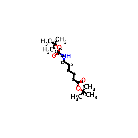 CC(C)(C)OC(=O)CCCCCNC(=O)OC(C)(C)C